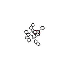 c1ccc(-c2ccc(-c3nc(-c4ccc5ccccc5c4)nc(-c4c(-n5c6cc7ccccc7cc6c6c7ccccc7ccc65)c5ccccc5c5sc6ccccc6c45)n3)cc2)cc1